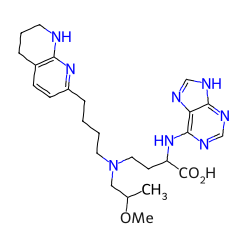 COC(C)CN(CCCCc1ccc2c(n1)NCCC2)CCC(Nc1ncnc2[nH]cnc12)C(=O)O